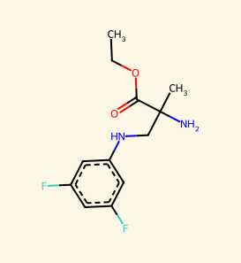 CCOC(=O)C(C)(N)CNc1cc(F)cc(F)c1